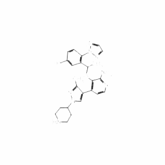 Cc1nn(C2CCNCC2)cc1-c1ccnc(N)c1O[C@H](C)c1cc(F)ccc1-n1nccn1